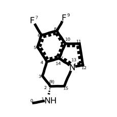 CN[C@@H]1Cc2cc(F)c(F)c3ccn(c23)C1